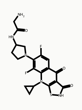 NCC(=O)NC1CCN(c2c(F)cc3c(=O)c4c(=O)[nH]sc4n(C4CC4)c3c2F)C1